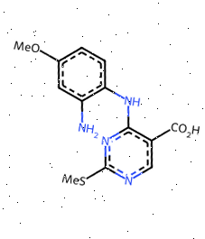 COc1ccc(Nc2nc(SC)ncc2C(=O)O)c(N)c1